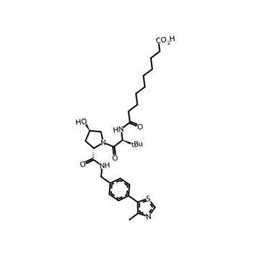 Cc1ncsc1-c1ccc(CNC(=O)[C@@H]2C[C@@H](O)CN2C(=O)[C@@H](NC(=O)CCCCCCCCC(=O)O)C(C)(C)C)cc1